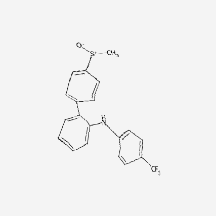 C[S+]([O-])c1ccc(-c2ccccc2Nc2ccc(C(F)(F)F)cc2)cc1